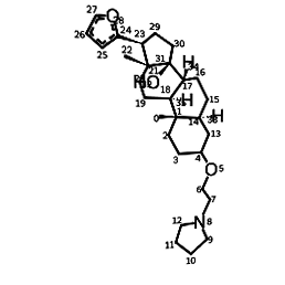 C[C@]12CCC(OCCN3CCCC3)C[C@@H]1CC[C@@H]1[C@@H]2CC[C@]2(C)[C@@H](c3ccco3)CC[C@]12O